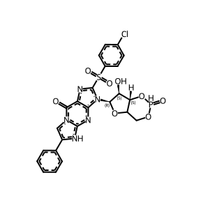 O=c1c2nc(S(=O)(=O)c3ccc(Cl)cc3)n([C@@H]3OC4CO[PH](=O)O[C@H]4[C@@H]3O)c2nc2[nH]c(-c3ccccc3)cn12